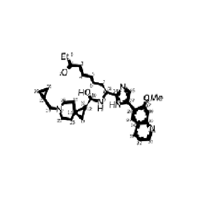 CCC(=O)CCCCC[C@H](NC(O)[C@H]1CC12CCN(CC1CC1)CC2)c1ncc(-c2cc3cccnc3cc2OC)[nH]1